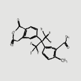 Cc1ccc(C(c2ccc3c(c2)C(=O)OC3=O)(C(F)(F)F)C(F)(F)F)cc1C(=O)O